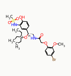 CC[Si](CC)(CC)O[C@@H](CNC(=O)COc1ccc(Br)cc1OC)c1ccc(O)c(NS(C)(=O)=O)c1